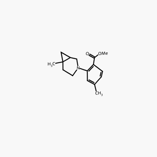 COC(=O)c1ccc(C)cc1N1CCC2(C)CC2C1